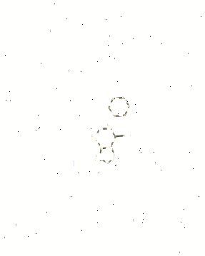 Cn1cnc2c(=O)n(-c3cccc(F)c3)cnc21